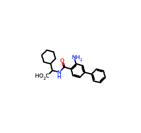 Nc1cc(-c2ccccc2)ccc1C(=O)NC(C(=O)O)C1CCCCC1